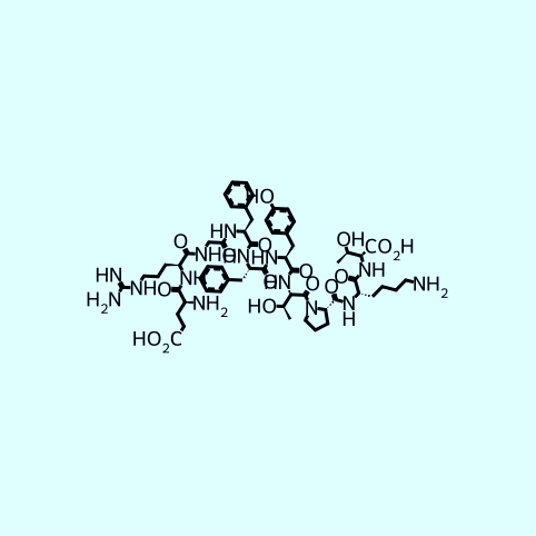 C[C@@H](O)[C@H](NC(=O)[C@H](CCCCN)NC(=O)[C@@H]1CCCN1C(=O)[C@@H](NC(=O)[C@H](Cc1ccc(O)cc1)NC(=O)[C@H](Cc1ccccc1)NC(=O)[C@H](Cc1ccccc1)NC(=O)CNC(=O)[C@H](CCCNC(=N)N)NC(=O)[C@@H](N)CCC(=O)O)[C@@H](C)O)C(=O)O